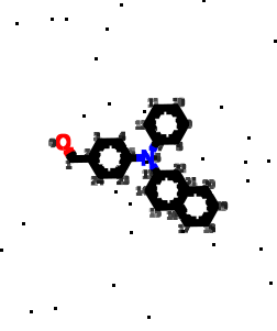 O=Cc1ccc(N(c2ccccc2)c2ccc3ccccc3c2)cc1